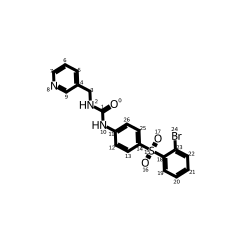 O=C(NCc1cccnc1)Nc1ccc(S(=O)(=O)c2ccccc2Br)cc1